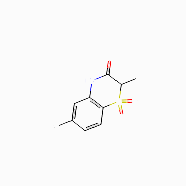 CC1C(=O)Nc2cc(C(C)(C)C)ccc2S1(=O)=O